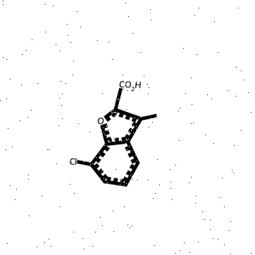 Cc1c(C(=O)O)oc2c(Cl)cccc12